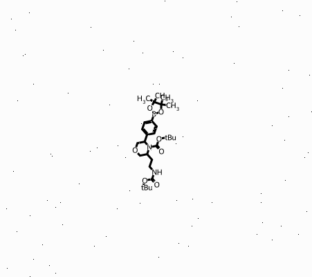 CC(C)(C)OC(=O)NCCC1COCC(c2ccc(B3OC(C)(C)C(C)(C)O3)cc2)N1C(=O)OC(C)(C)C